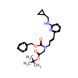 CC(C)(C)OC(=O)CN(CC=Cc1cccc(NCC2CC2)n1)C(=O)OCc1ccccc1